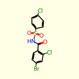 O=C(NS(=O)(=O)c1ccc(Cl)cc1)c1ccc(Br)cc1Cl